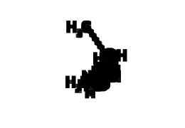 CCCCCCCCCCCCCCCC(=O)N[C@@H](CO)C(=O)NCC(=O)N[C@@H](Cc1c[nH]cn1)C(=O)N[C@@H](Cc1ccccc1)C(=O)N[C@@H](CCCNC(=N)N)C(C)=O